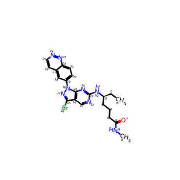 CC[C@@H](CCCC(=O)NC)Nc1ncc2c(Br)nn(-c3ccc4nnccc4c3)c2n1